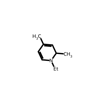 CCN1C=CC(C)=CC1C